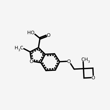 Cc1oc2ccc(OCC3(C)COC3)cc2c1C(=O)O